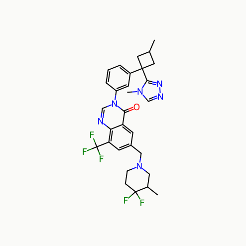 CC1CC(c2cccc(-n3cnc4c(C(F)(F)F)cc(CN5CCC(F)(F)C(C)C5)cc4c3=O)c2)(c2nncn2C)C1